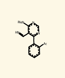 CNc1ncnc(-c2ccccc2C(C)=O)c1C=N